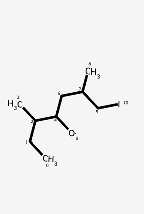 CCC(C)C([O])CC(C)CI